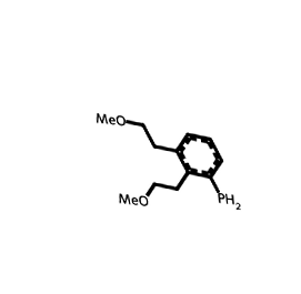 COCCc1cccc(P)c1CCOC